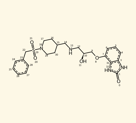 O=c1[nH]c2cccc(OC[C@@H](O)CNCC3CCN(S(=O)(=O)Cc4ccccc4)CC3)c2[nH]1